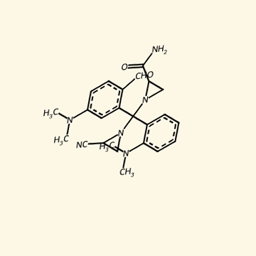 CN(C)c1ccc(C=O)c(C(c2ccccc2N(C)C)(N2CC2C#N)N2CC2C(N)=O)c1